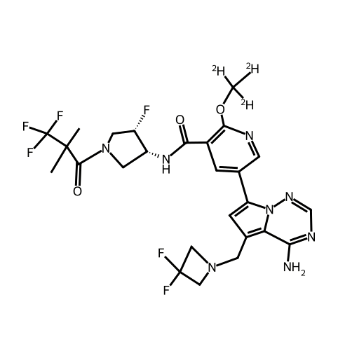 [2H]C([2H])([2H])Oc1ncc(-c2cc(CN3CC(F)(F)C3)c3c(N)ncnn23)cc1C(=O)N[C@@H]1CN(C(=O)C(C)(C)C(F)(F)F)C[C@@H]1F